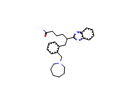 NC(=O)CCCC(Cc1ccccc1CN1CCCCCC1)c1nc2ccccc2[nH]1